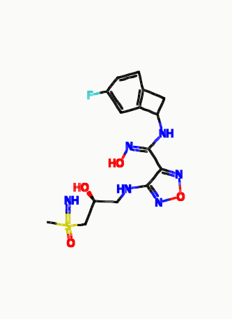 CS(=N)(=O)C[C@@H](O)CNc1nonc1C(=NO)NC1Cc2ccc(F)cc21